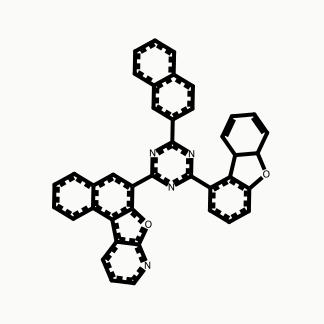 C1=CC2Oc3cccc(-c4nc(-c5ccc6ccccc6c5)nc(-c5cc6ccccc6c6c5oc5ncccc56)n4)c3C2C=C1